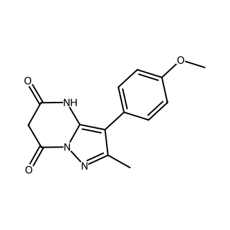 COc1ccc(-c2c(C)nn3c2NC(=O)CC3=O)cc1